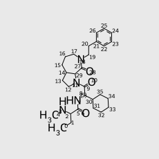 CCC(NC)C(=O)N[C@H](C(=O)N1CCC2CCCN(CCc3ccccc3)C(=O)C21)C1CCCCC1